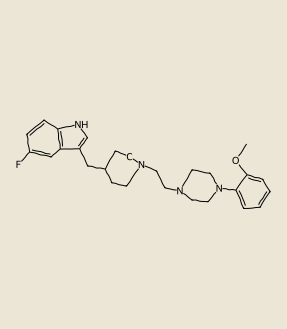 COc1ccccc1N1CCN(CCN2CCC(Cc3c[nH]c4ccc(F)cc34)CC2)CC1